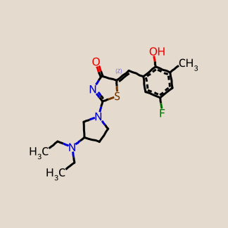 CCN(CC)C1CCN(C2=NC(=O)/C(=C/c3cc(F)cc(C)c3O)S2)C1